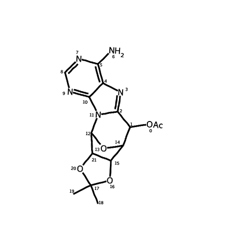 CC(=O)OC1c2nc3c(N)ncnc3n2C2OC1C1OC(C)(C)OC12